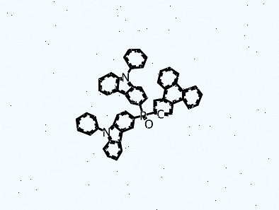 O=P(c1ccc2c3ccccc3c3ccccc3c2c1)(c1ccc2c(c1)c1ccccc1n2-c1ccccc1)c1ccc2c(c1)c1ccccc1n2-c1ccccc1